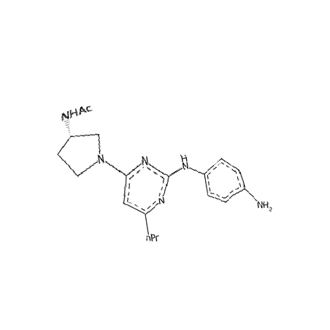 CCCc1cc(N2CC[C@H](NC(C)=O)C2)nc(Nc2ccc(N)cc2)n1